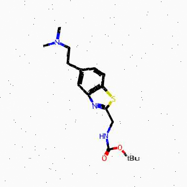 CN(C)CCc1ccc2sc(CNC(=O)OC(C)(C)C)nc2c1